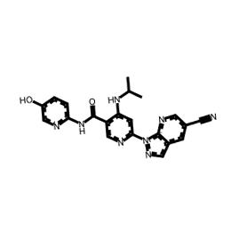 CC(C)Nc1cc(-n2ncc3cc(C#N)cnc32)ncc1C(=O)Nc1ccc(O)cn1